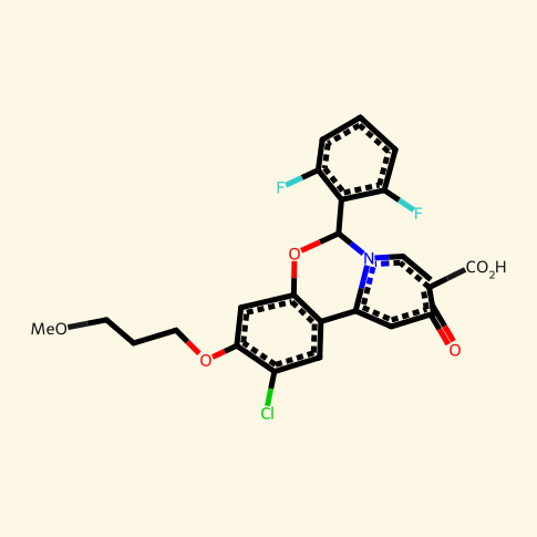 COCCCOc1cc2c(cc1Cl)-c1cc(=O)c(C(=O)O)cn1C(c1c(F)cccc1F)O2